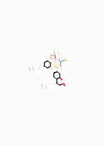 Cc1cc(C)c(S(=O)(=O)NC(CSc2ccc3c(C)cc(=O)oc3c2)C(F)(F)F)c(C)c1